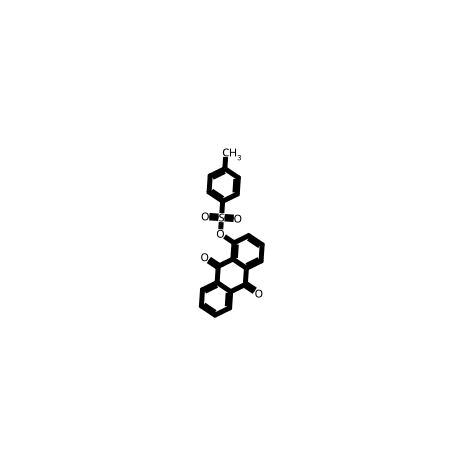 Cc1ccc(S(=O)(=O)Oc2cccc3c2C(=O)c2ccccc2C3=O)cc1